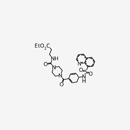 CCOC(=O)CCNC(=O)N1CCN(C(=O)C2=CCC(NS(=O)(=O)c3cccc4cccnc34)C=C2)CC1